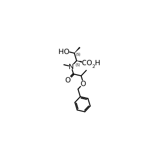 CC(OCc1ccccc1)C(=O)N(C)[C@H](C(=O)O)[C@H](C)O